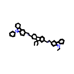 CCn1c2ccccc2c2cc(/C=C/c3ccc4c(c3)C(CC)(CC)C3C=C(/C=C/c5ccc6c(c5)c5c(n6-c6ccccc6)C=CCC5)C=CC43)ccc21